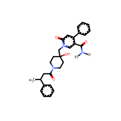 CCN(CC)C(=O)c1cn(CC2(O)CCN(C(=O)CC(C)c3ccccc3)CC2)c(=O)cc1-c1ccccc1